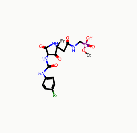 CCOP(=O)(O)CNC(=O)CC1(C(C)C)NC(=O)C(NC(=O)Nc2ccc(Br)cc2)C1=O